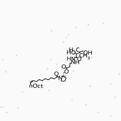 CCCCCCCC/C=C\CCCCCCCC(=O)N1CCC[C@H]1COC(=O)CCNNC(=O)C(O)C(C)(C)CO